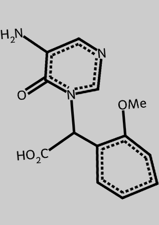 COc1ccccc1C(C(=O)O)n1cncc(N)c1=O